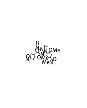 CNC(=O)c1ccc(Nc2nc(OC)c3c(-c4ccc5c(C)noc5c4)c[nH]c3n2)c(OC)c1